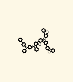 c1ccc(-c2ccc(N(c3ccccc3)c3ccc(-n4c5ccccc5c5c6oc7c(ccc8c7c7cc(-c9ccc%10oc%11ccccc%11c%10c9)ccc7n8-c7ccc8oc9ccccc9c8c7)c6ccc54)cc3)cc2)cc1